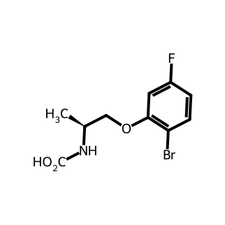 C[C@@H](COc1cc(F)ccc1Br)NC(=O)O